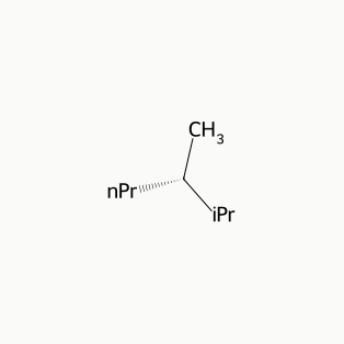 CCC[C@H](C)C(C)C